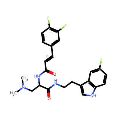 CN(C)CC(NC(=O)/C=C/c1ccc(F)c(F)c1)C(=O)NCCc1c[nH]c2ccc(F)cc12